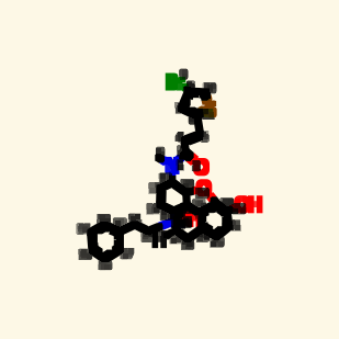 CN(C(=O)/C=C/c1cc(Br)cs1)C1C=C[C@@]2(O)[C@H]3Cc4ccc(O)c5c4[C@@]2(CCN3CCc2ccccc2)C1O5